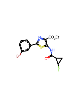 CCOC(=O)c1nc(-c2cccc(Br)c2)sc1NC(=O)C1CC1F